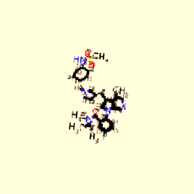 Cc1cncc2c1c(C[C@H]1CCN(C[C@H]3CC[C@H](NS(C)(=O)=O)CC3)C1)cn2-c1ccc(F)cc1C(=O)N(C)C(C)C